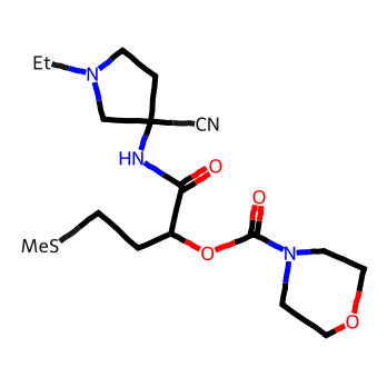 CCN1CCC(C#N)(NC(=O)C(CCSC)OC(=O)N2CCOCC2)C1